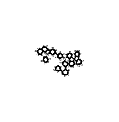 c1ccc(-c2ccccc2-c2ccc(N(c3ccc(-c4ccc5c6ccc7ccccc7c6n(-c6ccccc6)c5c4)cc3)c3cccc4c3-c3ccccc3C43c4ccccc4-c4ccccc43)cc2)cc1